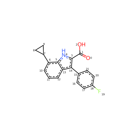 O=C(O)c1[nH]c2c(C3CC3)cccc2c1-c1ccc(F)cc1